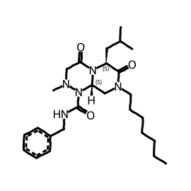 CCCCCCCN1C[C@H]2N(C(=O)CN(C)N2C(=O)NCc2ccccc2)[C@@H](CC(C)C)C1=O